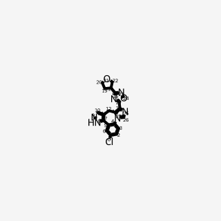 Clc1ccc2c(c1)-c1[nH]ncc1Cc1c(-c3nc(C4CCOC4)no3)ncn1-2